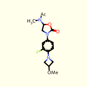 COC1CN(c2ccc(N3CC(N(C)C(C)=O)OC3=O)cc2F)C1